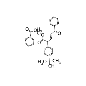 COC(=O)C(/C=C/C(=O)c1ccccc1)c1ccc(C(C)(C)C)cc1.O=C(O)c1ccccc1